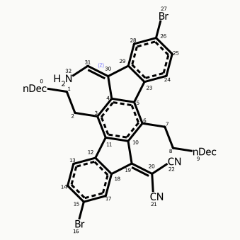 CCCCCCCCCCCCc1c2c(c(CCCCCCCCCCCC)c3c1-c1ccc(Br)cc1C3=C(C#N)C#N)-c1ccc(Br)cc1/C2=C/N